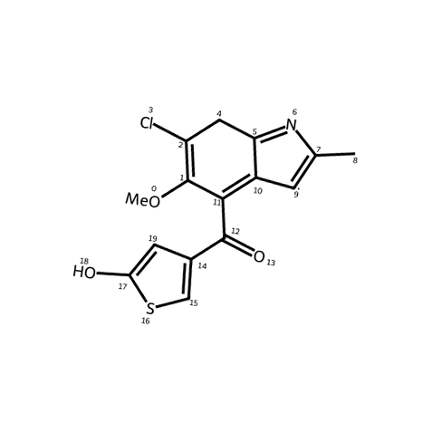 COC1=C(Cl)CC2=NC(C)=[C]C2=C1C(=O)c1csc(O)c1